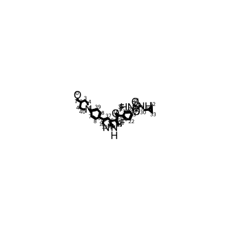 O=CC1CCN(c2ccc(-c3cnc4[nH]cc(C(=O)c5c(F)ccc(NS(=O)(=O)NCC6CC6)c5F)c4c3)cc2)CC1